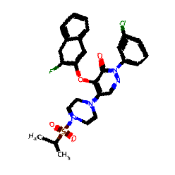 CC(C)S(=O)(=O)N1CCN(c2cnn(-c3cccc(Cl)c3)c(=O)c2OC2Cc3ccccc3CC2F)CC1